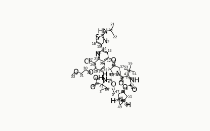 CC[C@@H]1CC1(NC(=O)[C@@H]1C[C@@H](Oc2cc(-c3csc(NC(C)C)n3)nc3c(Cl)c(OCCOC)ccc23)CN1C(=O)[C@@H](NC(=O)O[C@@H]1C[C@@H]2C[C@@H]2C1)C(C)(C)C)C(=O)O